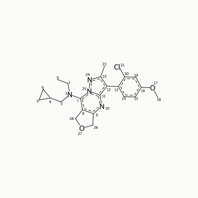 CCN(CC1CC1)c1c2c(nc3c(-c4ccc(OC)cc4Cl)c(C)nn13)COC2